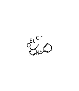 CCOc1sc[n+](Cc2ccccc2)c1C.[Cl-]